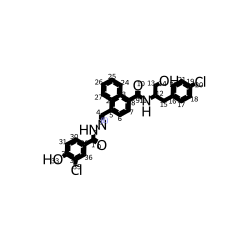 O=C(N/N=C/c1ccc(C(=O)NC(CO)Cc2ccc(Cl)cc2)c2ccccc12)c1ccc(O)c(Cl)c1